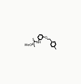 CON(C)C(=S)Nc1cccc(OCCc2ccc(C)cc2)c1